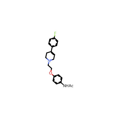 CC(=O)Nc1ccc(OCCN2CC=C(c3ccc(F)cc3)CC2)cc1